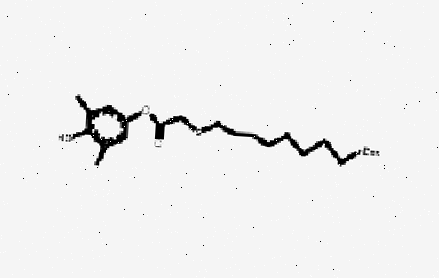 CCCCCCCCCCCCCCCCCCSCC(=O)Oc1cc(C)c(O)c(C)c1